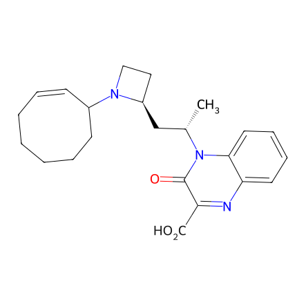 C[C@@H](C[C@@H]1CCN1C1/C=C\CCCCC1)n1c(=O)c(C(=O)O)nc2ccccc21